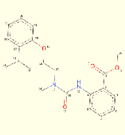 COC(=O)c1ccccc1NC(=O)N(C)CCOc1ccccc1C(C)C